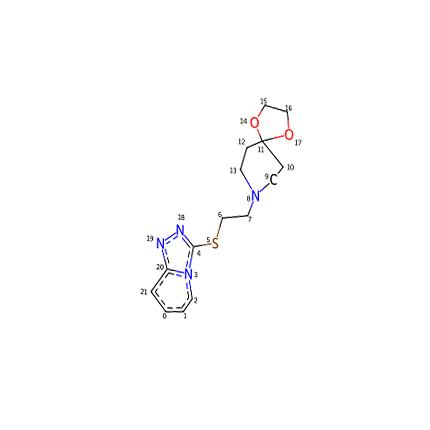 c1ccn2c(SCCN3CCC4(CC3)OCCO4)nnc2c1